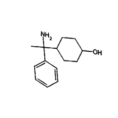 CC(N)(c1ccccc1)C1CCC(O)CC1